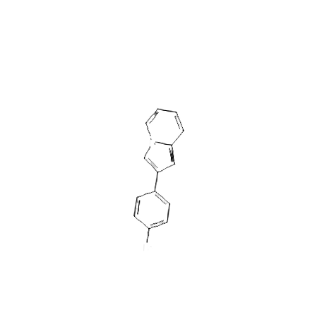 Brc1ccc(-c2cc3ccccn3c2)cc1